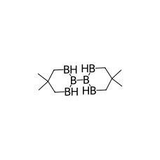 CC1(C)CBB(B2BCC(C)(C)CB2)BC1